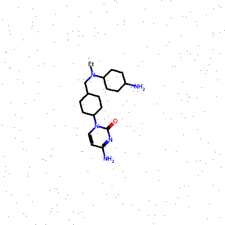 CCN(CC1CCC(n2ccc(N)nc2=O)CC1)C1CCC(N)CC1